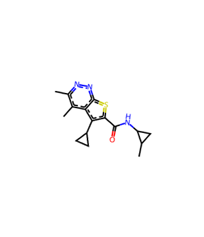 Cc1nnc2sc(C(=O)NC3CC3C)c(C3CC3)c2c1C